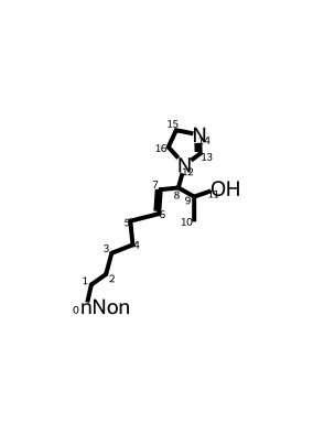 CCCCCCCCCCCCCCC=CC(C(C)O)N1C=NCC1